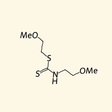 COCCNC(=S)SCCOC